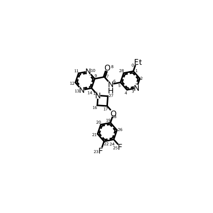 CCc1cncc(NC(=O)c2nccnc2N2CC(Oc3ccc(F)c(F)c3)C2)c1